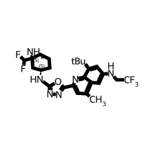 Cc1cc(-c2nnc(N[C@H]3CCC[C@@](N)(C(F)F)C3)o2)nc2c(C(C)(C)C)cc(NCC(F)(F)F)cc12